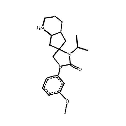 COc1cccc(N2CC3(CC4CCCNC4C3)N(C(C)C)C2=O)c1